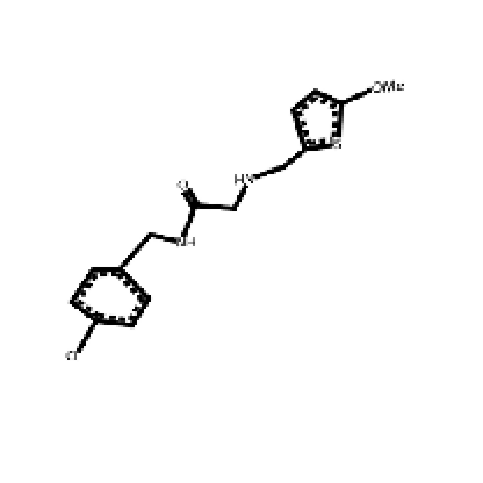 COc1ccc(CNCC(=O)NCc2ccc(Cl)cc2)s1